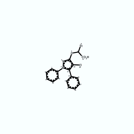 CCC(Oc1nn(-c2ccccc2)c(-c2ccccc2)c1Cl)C(=O)O